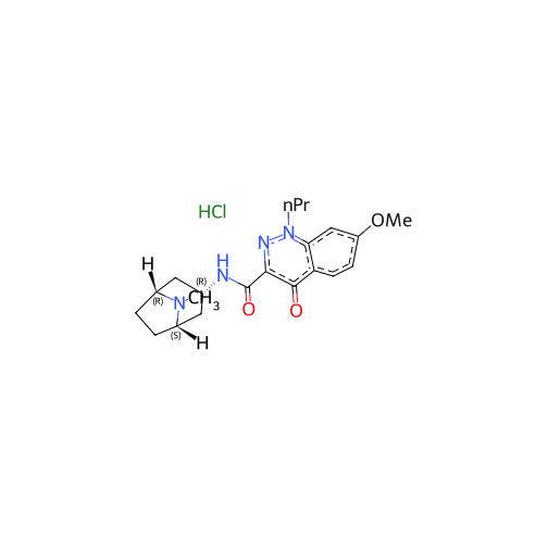 CCCn1nc(C(=O)N[C@H]2C[C@H]3CC[C@@H](C2)N3C)c(=O)c2ccc(OC)cc21.Cl